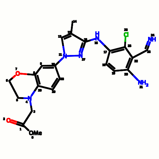 COC(=O)CN1CCOc2cc(-n3cc(C)c(Nc4ccc(N)c(C=N)c4Cl)n3)ccc21